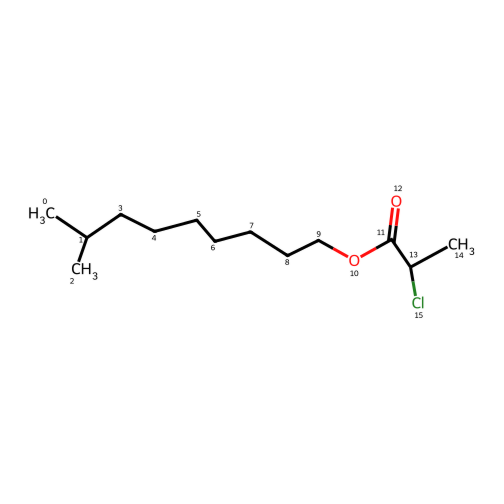 CC(C)CCCCCCCOC(=O)C(C)Cl